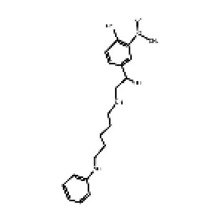 C[S+]([O-])c1cc(C(O)CNCCCCCNc2ccccc2)ccc1O